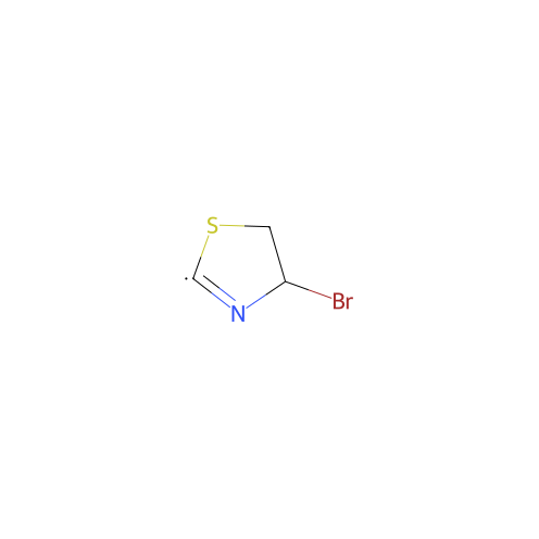 BrC1CS[C]=N1